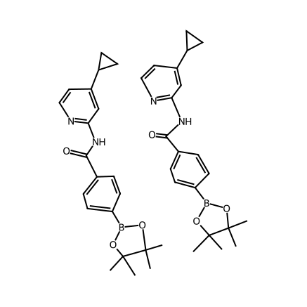 CC1(C)OB(c2ccc(C(=O)Nc3cc(C4CC4)ccn3)cc2)OC1(C)C.CC1(C)OB(c2ccc(C(=O)Nc3cc(C4CC4)ccn3)cc2)OC1(C)C